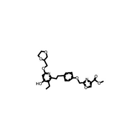 CCc1c(O)cc(OCC2COCCO2)nc1CCc1ccc(OCc2nc(C(=O)OC)co2)cc1